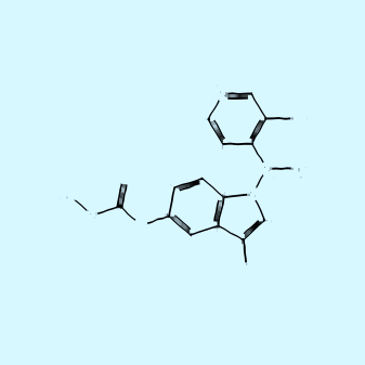 CCCCNC(=O)Oc1ccc2c(c1)c(C)cn2N(CCC)c1ccncc1F